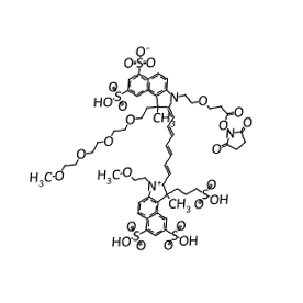 COCCOCCOCCOCCC1(C)\C(=C/C=C/C=C/C=C/C2=[N+](CCOC)c3ccc4c(S(=O)(=O)O)cc(S(=O)(=O)O)cc4c3C2(C)CCCS(=O)(=O)O)N(CCOCCC(=O)ON2C(=O)CCC2=O)c2ccc3c(S(=O)(=O)[O-])cc(S(=O)(=O)O)cc3c21